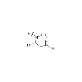 CC[C@@H](CNC(C)C)N(C)C